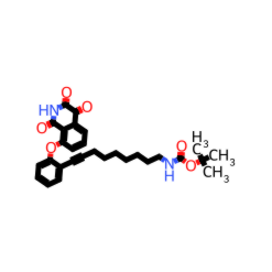 CC(C)(C)OC(=O)NCCCCCCCC#Cc1ccccc1Oc1cccc2c1C(=O)NC(=O)C2=O